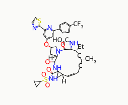 CC[C@@H]1C[C@H](C)CC/C=C\[C@@H]2CC2(C(=O)NS(=O)(=O)C2CC2)NC(=O)[C@@H]2C[C@@H](Oc3cc(-c4ccc(C(F)(F)F)cc4)nc(-c4nccs4)c3)CN2C(=O)[C@H]1NC(=O)O